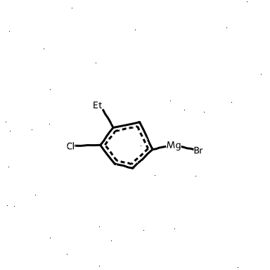 CCc1c[c]([Mg][Br])ccc1Cl